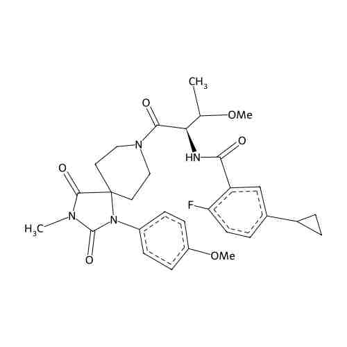 COc1ccc(N2C(=O)N(C)C(=O)C23CCN(C(=O)[C@H](NC(=O)c2cc(C4CC4)ccc2F)C(C)OC)CC3)cc1